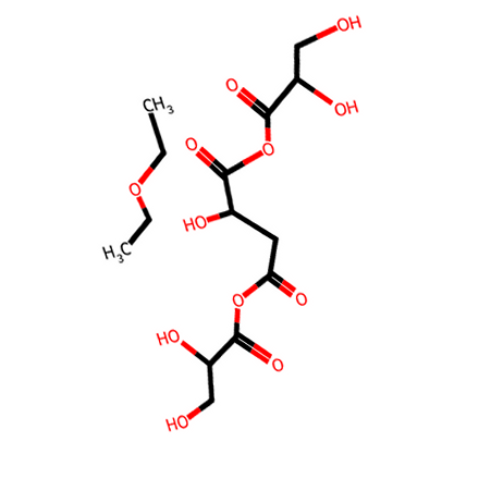 CCOCC.O=C(CC(O)C(=O)OC(=O)C(O)CO)OC(=O)C(O)CO